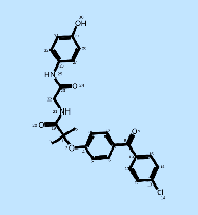 CC(C)(Oc1ccc(C(=O)c2ccc(Cl)cc2)cc1)C(=O)NCC(=O)Nc1ccc(O)cc1